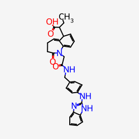 CCC(C(=O)O)C1C=CC=C2C1=CCCC(=O)N2CC(=O)NCc1ccc(Nc2nc3ccccc3[nH]2)cc1